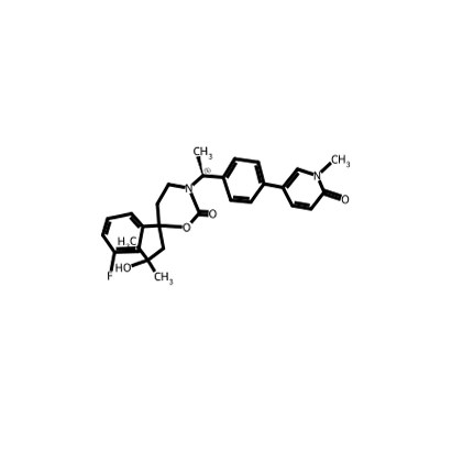 C[C@@H](c1ccc(-c2ccc(=O)n(C)c2)cc1)N1CCC(CC(C)(C)O)(c2cccc(F)c2)OC1=O